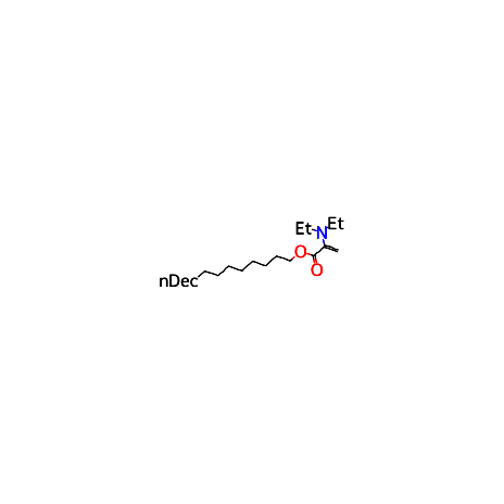 C=C(C(=O)OCCCCCCCCCCCCCCCCCC)N(CC)CC